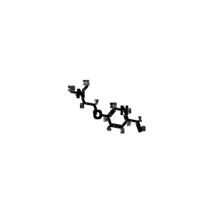 C=Cc1ccc(OCCN(C)C)cn1